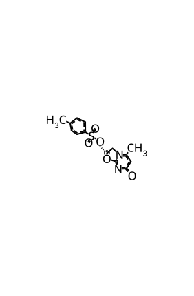 Cc1ccc(S(=O)(=O)OC[C@@H]2Cn3c(C)cc(=O)nc3O2)cc1